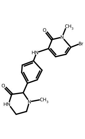 CN1CCNC(=O)C1c1ccc(Nc2ccc(Br)n(C)c2=O)cc1